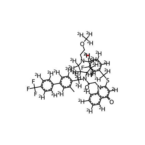 [2H]c1c([2H])c(F)c(F)c(C([2H])([2H])Sc2c([2H])c(=O)c3c([2H])c([2H])c([2H])c([2H])c3n2CC(=O)N(C([2H])([2H])c2c([2H])c([2H])c(-c3c([2H])c([2H])c(C(F)(F)F)c([2H])c3[2H])c([2H])c2C)C2([2H])C([2H])([2H])C([2H])([2H])N(CCOC([2H])([2H])[2H])C([2H])([2H])C2([2H])[2H])c1[2H]